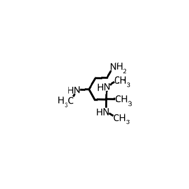 CNC(CCN)CC(C)(NC)NC